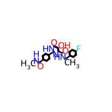 CNC(=O)c1ccc(-c2nc(C(=O)NC(C)c3ccc(F)cc3)c(O)c(=O)[nH]2)cc1